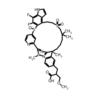 COCC(Cc1cccc([C@@]2(C)CCCC(C)(C)CS(=O)(=O)CCc3c(c(F)c(F)c4[nH]ccc34)[S+]([O-])c3ccnc(c3)-c3nc2nn3C)c1)C(=O)O